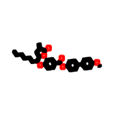 C=C1CC(C(CCCCCC)Oc2ccc(C(=O)Oc3ccc(-c4ccc(OC)cc4)cc3)cc2)OC1=O